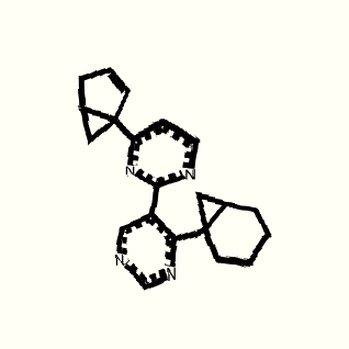 [c]1ncc(-c2nccc(C34C=CCC3C4)n2)c(C23CCCCC2C3)n1